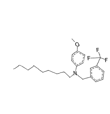 CCCCCCCCCN(Cc1cccc(C(F)(F)F)c1)c1ccc(OC)cc1